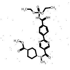 CCOP(=O)(NC(=N)c1ccc(-c2ncc(C(=O)N(C)[C@H]3CC[C@H](C(=O)OC)CC3)cn2)cc1)OCC